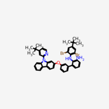 CC(C)(C)c1ccnc(-n2c3ccccc3c3ccc(Oc4cccc(-c5cccc(N)c5Nc5c(Br)cc(C(C)(C)C)cc5Br)c4)cc32)c1